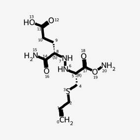 C=CCSC[C@H](NN[C@@H](CCC(=O)O)C(N)=O)C(=O)ON